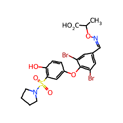 CC(O/N=C\c1cc(Br)c(Oc2ccc(O)c(S(=O)(=O)N3CCCC3)c2)c(Br)c1)C(=O)O